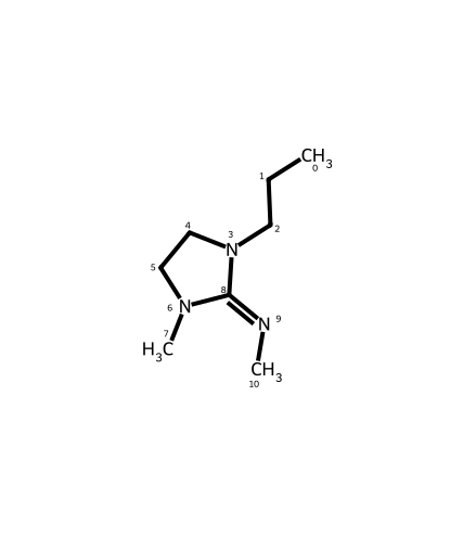 CCCN1CCN(C)/C1=N\C